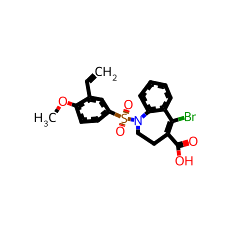 C=Cc1cc(S(=O)(=O)N2CCC(C(=O)O)=C(Br)c3ccccc32)ccc1OC